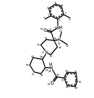 Cc1cccc(C)c1NC(=O)C1(N(C)C)CCN(C2CCCCC2NC(=O)c2ccccc2)CC1